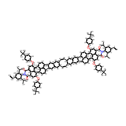 C=Cc1cc(C(C)C)c(N2C(=O)c3cc(Oc4ccc(C(C)(C)C)cc4)c4c5ccc6c7c(ccc(c8c(Oc9ccc(C(C)(C)C)cc9)cc(c3c48)C2=O)c75)-c2cc3cc4c(cc3cc2-6)/C=C\c2cc3cc5c(cc3cc2/C=C\4)-c2ccc3c4c(Oc6ccc(C(C)(C)C)cc6)cc6c7c(cc(Oc8ccc(C(C)(C)C)cc8)c(c8ccc-5c2c83)c74)C(=O)N(c2c(C(C)C)cc(C=C)cc2C(C)C)C6=O)c(C(C)C)c1